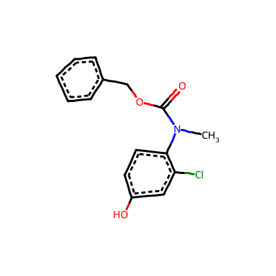 CN(C(=O)OCc1ccccc1)c1ccc(O)cc1Cl